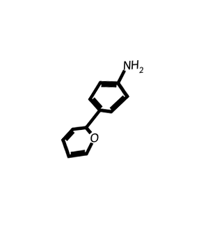 Nc1ccc(C2C=CC=CO2)cc1